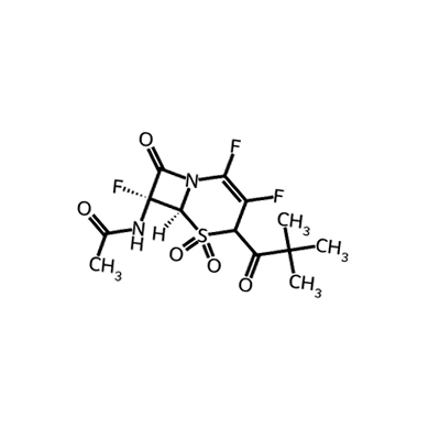 CC(=O)N[C@@]1(F)C(=O)N2C(F)=C(F)C(C(=O)C(C)(C)C)S(=O)(=O)[C@H]21